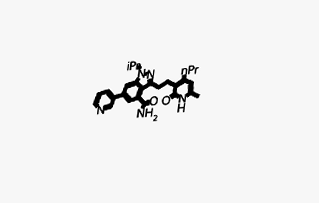 CCCc1cc(C)[nH]c(=O)c1CCc1nn(C(C)C)c2cc(-c3cccnc3)cc(C(N)=O)c12